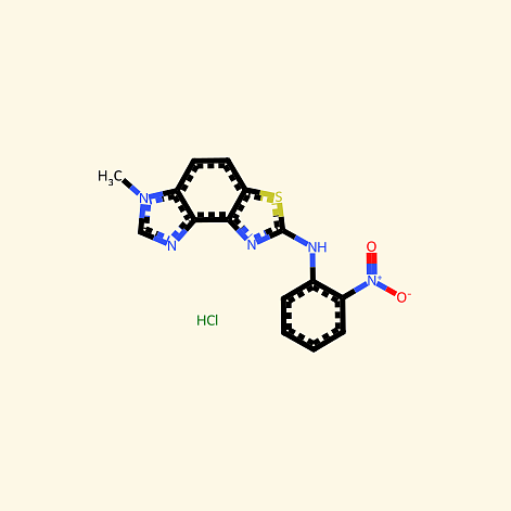 Cl.Cn1cnc2c3nc(Nc4ccccc4[N+](=O)[O-])sc3ccc21